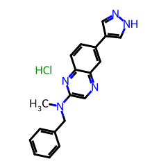 CN(Cc1ccccc1)c1cnc2cc(-c3cn[nH]c3)ccc2n1.Cl